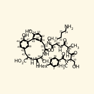 CCCCCCc1ccc(C(=O)N(C)C(CO)C(=O)N[C@H](C)C(=O)N[C@@H](CCCCN)C(=O)N(C)[C@@H]2C(=O)N[C@@H](C)C(=O)NC(C(=O)O)Cc3ccc(O)c(c3)-c3cc2ccc3O)cc1